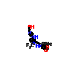 COc1cc(S(C)(=O)=O)ccc1NCC#Cc1cc2c(NC3CCN(CCCO)CC3)cccc2n1CC(F)(F)F